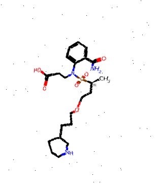 C[C@@H](CCOCCCC1CCCNC1)S(=O)(=O)N(CCC(=O)O)c1ccccc1C(N)=O